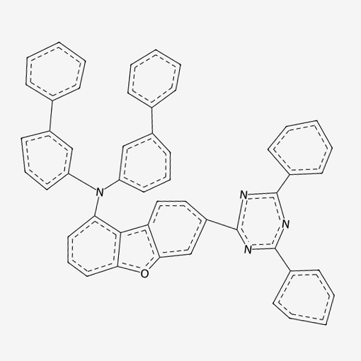 c1ccc(-c2cccc(N(c3cccc(-c4ccccc4)c3)c3cccc4oc5cc(-c6nc(-c7ccccc7)nc(-c7ccccc7)n6)ccc5c34)c2)cc1